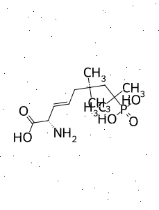 CC(C)(C/C=C/[C@H](N)C(=O)O)CC(C)(C)P(=O)(O)O